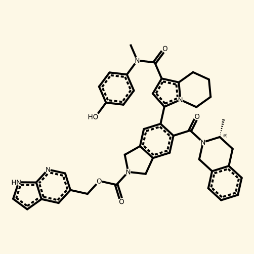 C[C@@H]1Cc2ccccc2CN1C(=O)c1cc2c(cc1-c1cc(C(=O)N(C)c3ccc(O)cc3)c3n1CCCC3)CN(C(=O)OCc1cnc3[nH]ccc3c1)C2